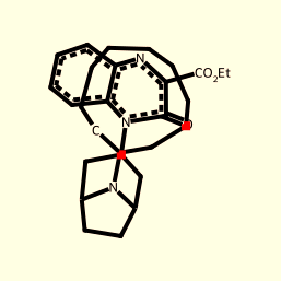 CCOC(=O)c1nc2ccccc2n(C2CC3CCC(C2)N3C2CCCCCCCCC2)c1=O